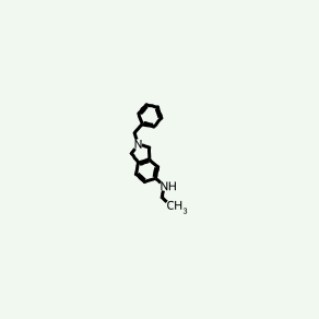 CCNc1ccc2c(c1)CN(Cc1ccccc1)C2